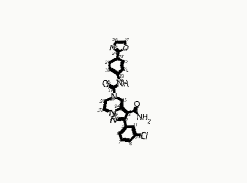 NC(=O)c1c(-c2cccc(Cl)c2)nn2c1CN(C(=O)Nc1ccc(-c3ncco3)cc1)CC2